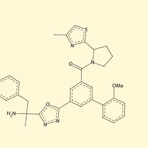 COc1ccccc1-c1cc(C(=O)N2CCCC2c2nc(C)cs2)cc(-c2nnc(C(C)(N)Cc3ccccc3)o2)c1